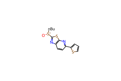 CCCC[S+]([O-])c1nc2ccc(-c3cccs3)nc2s1